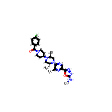 CCNc1nnc(-c2cnc(N3C[C@H](CC)N(C4CCN(C(=O)c5ccc(Cl)cc5)CC4)C[C@H]3C)c(C)n2)o1